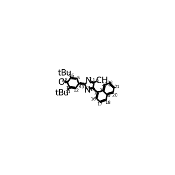 CC1=NC(=C2C=C(C(C)(C)C)C(=O)C(C(C)(C)C)=C2)N=C1c1cccc2ccccc12